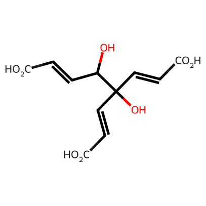 O=C(O)C=CC(O)C(O)(C=CC(=O)O)C=CC(=O)O